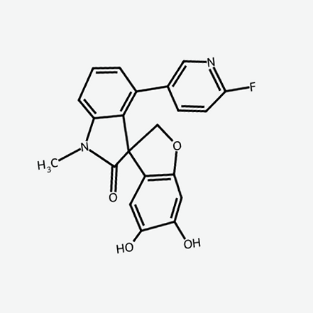 CN1C(=O)C2(COc3cc(O)c(O)cc32)c2c(-c3ccc(F)nc3)cccc21